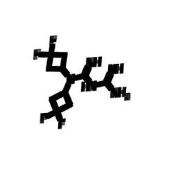 N=C(N)NC(=N)N(C1CC(F)(F)C1)C1CC(F)(F)C1